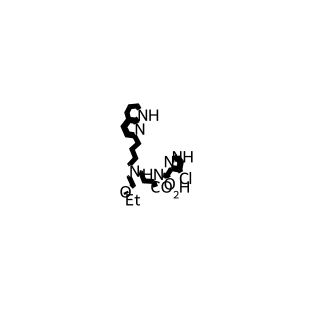 CCOCCN(CCCCc1ccc2c(n1)NCCC2)CCC(NC(=O)c1n[nH]cc1Cl)C(=O)O